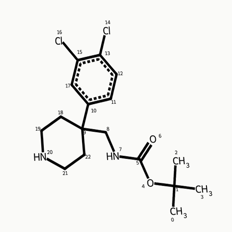 CC(C)(C)OC(=O)NCC1(c2ccc(Cl)c(Cl)c2)CCNCC1